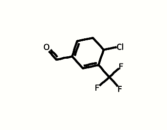 O=CC1=CCC(Cl)C(C(F)(F)F)=C1